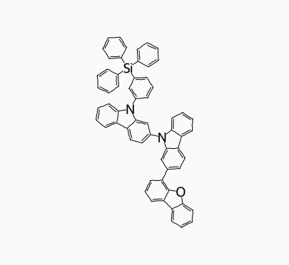 c1ccc([Si](c2ccccc2)(c2ccccc2)c2cccc(-n3c4ccccc4c4ccc(-n5c6ccccc6c6ccc(-c7cccc8c7oc7ccccc78)cc65)cc43)c2)cc1